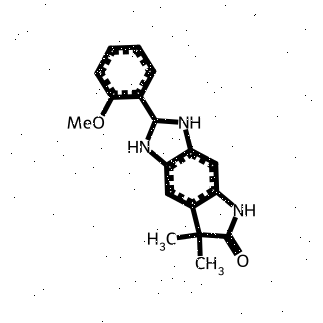 COc1ccccc1C1Nc2cc3c(cc2N1)C(C)(C)C(=O)N3